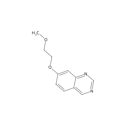 COCCOc1ccc2cncnc2c1